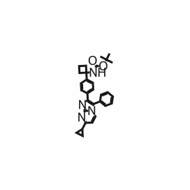 CC(C)(C)OC(=O)NC1(c2ccc(-c3nc4nc(C5CC5)ccn4c3-c3ccccc3)cc2)CCC1